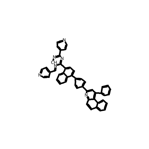 C\N=C(/N=C(\N=C\c1ccncc1)c1ccc(-c2ccc(-c3cc(-c4ccccc4)c4c(ccc5ccccc54)n3)cc2)c2ccccc12)c1ccncc1